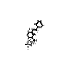 CS(=O)(=O)CS(=O)(=O)Nc1c(F)ccc(NC(=O)c2ccccc2)c1F